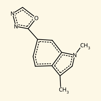 Cc1cn(C)c2cc(-c3nnco3)ccc12